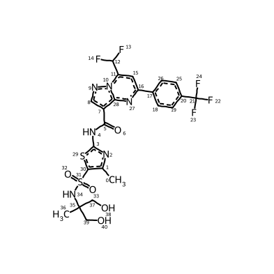 Cc1nc(NC(=O)c2cnn3c(C(F)F)cc(-c4ccc(C(F)(F)F)cc4)nc23)sc1S(=O)(=O)NC(C)(CO)CO